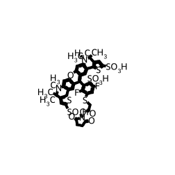 CN1c2cc3c(cc2-c2sc(S(=O)(=O)O)cc2C1(C)C)C(c1c(F)c(SCC(=O)ON2C(=O)CCC2=O)cc(F)c1S(=O)(=O)O)=c1cc2c(cc1O3)=[N+](C)C(C)(C)c1cc(S(=O)(=O)O)sc1-2